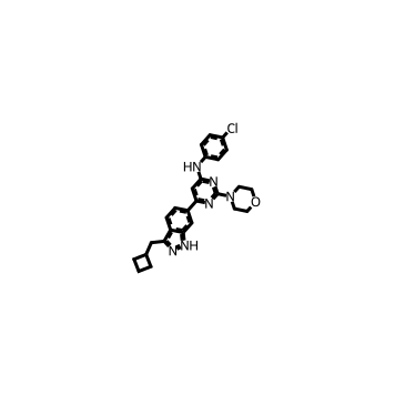 Clc1ccc(Nc2cc(-c3ccc4c(CC5CCC5)n[nH]c4c3)nc(N3CCOCC3)n2)cc1